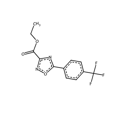 CCOC(=O)c1noc(-c2ccc(C(F)(F)F)cc2)n1